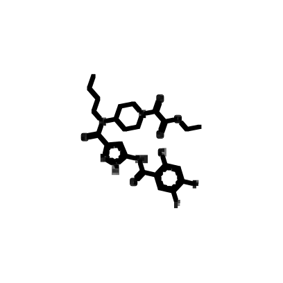 CCCCN(C(=O)c1cc(NC(=O)c2cc(F)c(F)cc2Cl)[nH]n1)C1CCN(C(=O)C(=O)OCC)CC1